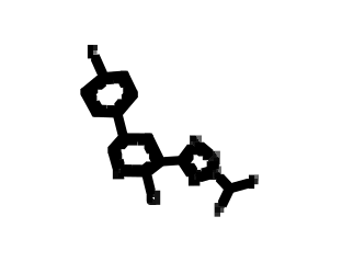 Fc1ccc(-c2cnc(Cl)c(-c3nnn(C(F)F)n3)c2)cc1